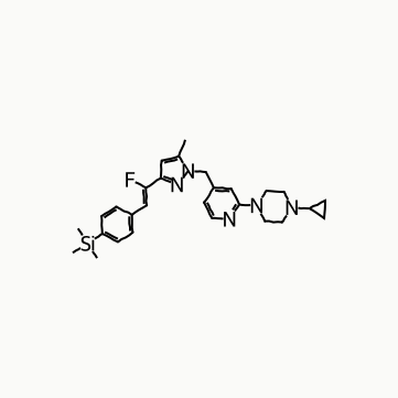 Cc1cc(/C(F)=C/c2ccc([Si](C)(C)C)cc2)nn1Cc1ccnc(N2CCN(C3CC3)CC2)c1